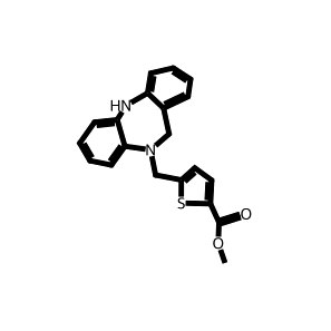 COC(=O)c1ccc(CN2Cc3ccccc3Nc3ccccc32)s1